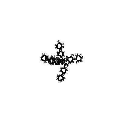 N[PH](N)=N[PH](NP(Oc1ccc(-c2ccccc2)cc1)Oc1ccc(-c2ccccc2)cc1)(Oc1ccc(-c2ccccc2)cc1)Oc1ccc(-c2ccccc2)cc1